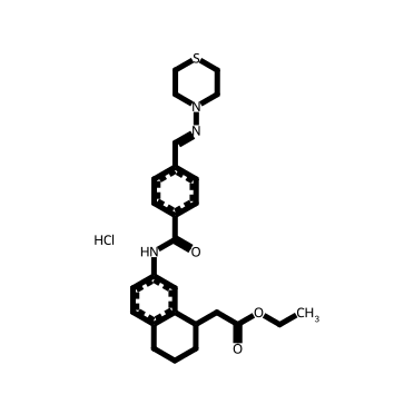 CCOC(=O)CC1CCCc2ccc(NC(=O)c3ccc(C=NN4CCSCC4)cc3)cc21.Cl